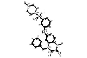 C[C@@H]1C(=O)N(C)c2cnc(Nc3cccc(S(=O)(=O)N4CCN(C)CC4)c3)cc2N1Cc1ccccc1